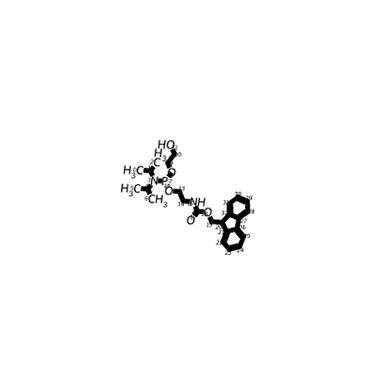 CC(C)N(C(C)C)P(OCCO)OCCNC(=O)OCC1c2ccccc2-c2ccccc21